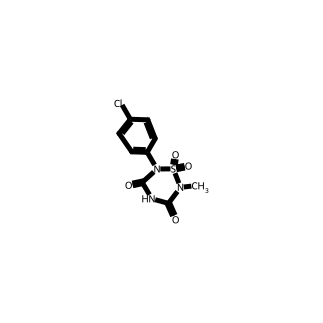 CN1C(=O)NC(=O)N(c2ccc(Cl)cc2)S1(=O)=O